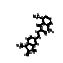 Cc1cccc(C)c1NC(=O)/C=C/c1ccc2c(c1)[nH]c(=O)n2C